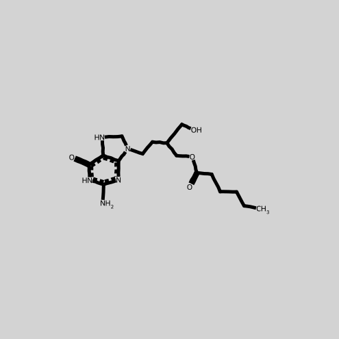 CCCCCC(=O)OCC(CO)CCN1CNc2c1nc(N)[nH]c2=O